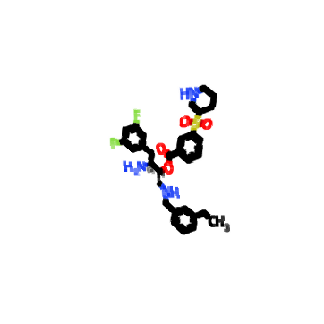 CCc1cccc(CNC[C@@H](OC(=O)c2cccc(S(=O)(=O)C3CCCNC3)c2)[C@@H](N)Cc2cc(F)cc(F)c2)c1